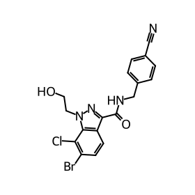 N#Cc1ccc(CNC(=O)c2nn(CCO)c3c(Cl)c(Br)ccc23)cc1